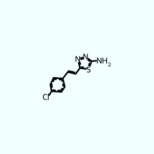 Nc1nnc(C=Cc2ccc(Cl)cc2)s1